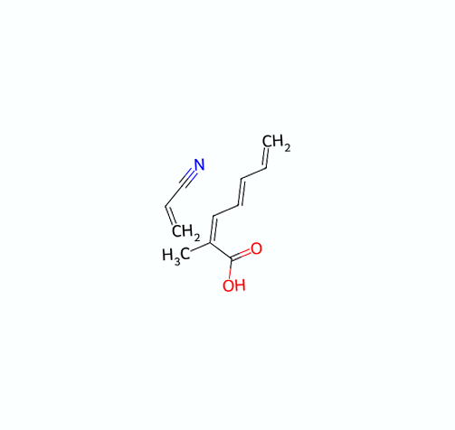 C=CC#N.C=CC=CC=C(C)C(=O)O